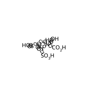 O=C(O)c1ccc(Nc2ccc3c4c2C(=O)c2ccccc2-c4c(S(=O)(=O)c2cccc(SOOO)c2)c(=O)n3-c2ccc(S(=O)(=O)O)cc2)c(SOOO)c1